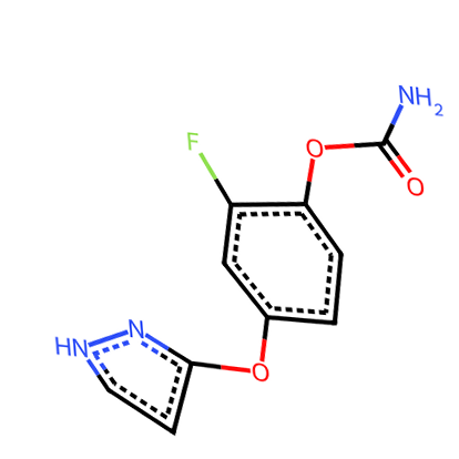 NC(=O)Oc1ccc(Oc2cc[nH]n2)cc1F